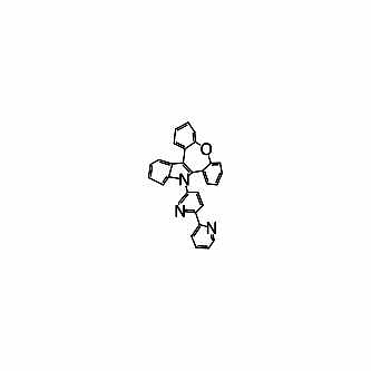 c1ccc(-c2ccc(-n3c4c(c5ccccc53)-c3ccccc3Oc3ccccc3-4)cn2)nc1